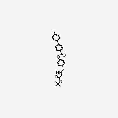 Cc1ccc(-c2ccc(C(=O)Oc3ccc(CNCC(=O)OC(C)(C)C)cc3)cc2)cc1